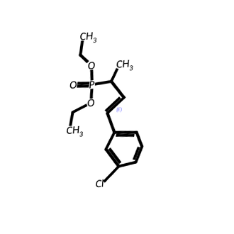 CCOP(=O)(OCC)C(C)/C=C/c1cccc(Cl)c1